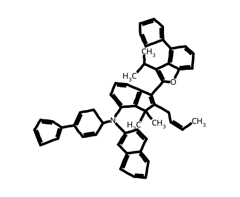 C/C=C\CC1=C(c2oc3cccc(-c4ccccc4)c3c2C(C)C)c2cccc(N(c3ccc4ccccc4c3)C3C=CC(c4ccccc4)=CC3)c2C1(C)C